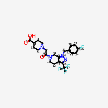 O=C(O)C1CCN(CC(=O)N2CCc3c(C(F)(F)F)nn(Cc4ccc(F)cc4)c3C2)CC1